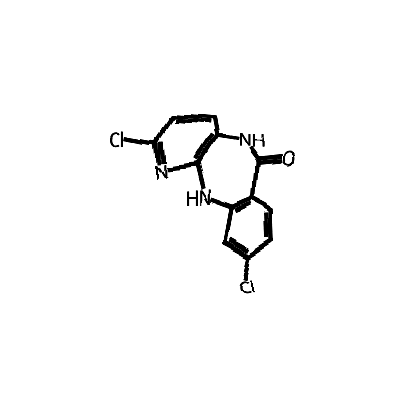 O=C1Nc2ccc(Cl)nc2Nc2cc(Cl)ccc21